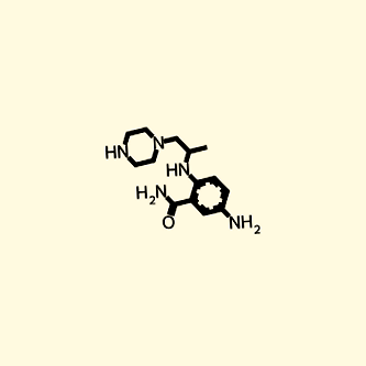 CC(CN1CCNCC1)Nc1ccc(N)cc1C(N)=O